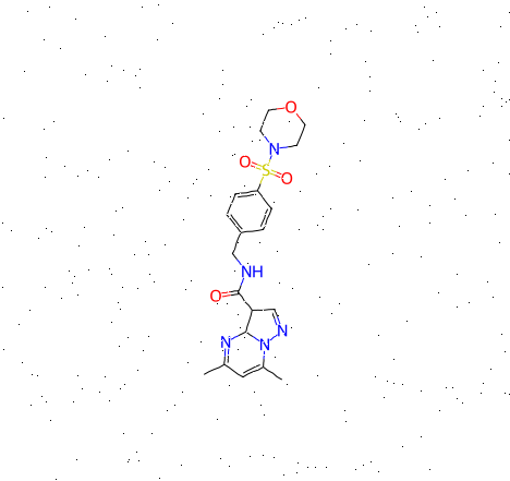 CC1=CC(C)=NC2C(C(=O)NCc3ccc(S(=O)(=O)N4CCOCC4)cc3)C=NN12